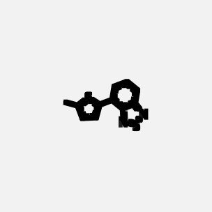 Cc1ccc(-c2cccc3nsnc23)s1